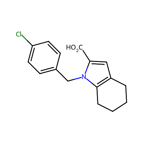 O=C(O)c1cc2c(n1Cc1ccc(Cl)cc1)CCCC2